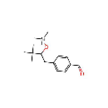 C[SiH](C)OC(Cc1ccc(C=O)cc1)C(C)(C)C